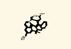 COCCC1c2c3c(cc4ccccc24)C(C)(C)c2cc(C(C)C)cc4cc[n+](c-3c24)C1CO